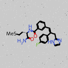 CSCC[C@H](NC(=O)c1cccc(C=C(Cc2ncc[nH]2)c2ccc(F)cc2)c1)C(N)=O